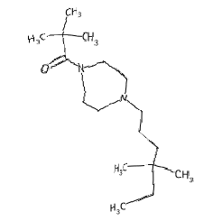 CCC(C)(C)CCCN1CCN(C(=O)C(C)(C)C)CC1